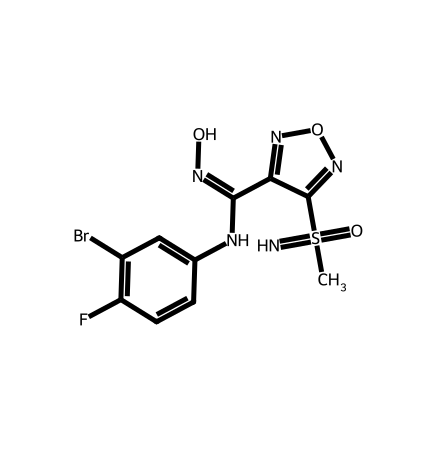 CS(=N)(=O)c1nonc1/C(=N\O)Nc1ccc(F)c(Br)c1